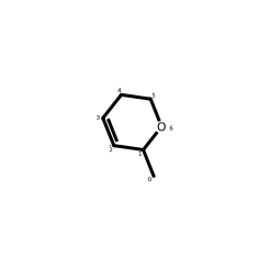 CC1[C]=CCCO1